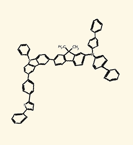 CC1(C)c2cc(-c3ccc4c(c3)c3cc(-c5ccc(-c6ccc(-c7ccccc7)s6)cc5)ccc3n4-c3ccccc3)ccc2-c2ccc(N(c3ccc(-c4ccccc4)cc3)c3ccc(-c4ccccc4)cc3)cc21